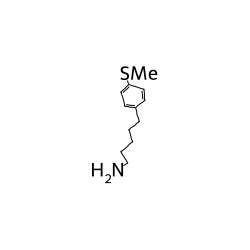 CSc1ccc(CCCCCN)cc1